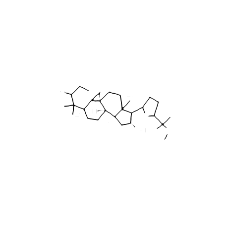 COC(C)(C)C1CC[C@](O)(C2[C@@H](O)C[C@@]3(C)[C@@H]4C[C@H](O)[C@H]5C(C)(C)C(O)CC[C@@]56C[C@@]46CCC23C)O1